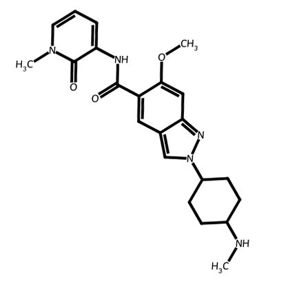 CNC1CCC(n2cc3cc(C(=O)Nc4cccn(C)c4=O)c(OC)cc3n2)CC1